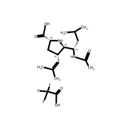 CC(=O)N[C@@H](CC(C)C)[C@@H]1N[C@@H](C(=O)O)C[C@H]1C=C(C)C.O=C(O)C(F)(F)F